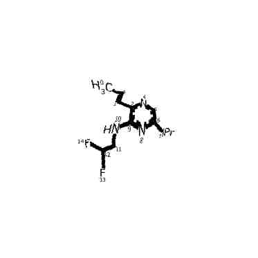 CC=Cc1ncc(C(C)C)nc1NCC(F)F